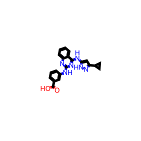 O=C(O)c1cccc(Nc2nc(Nc3cc(C4CC4)n[nH]3)c3ccccc3n2)c1